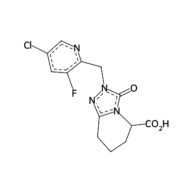 O=C(O)C1CCCc2nn(Cc3ncc(Cl)cc3F)c(=O)n21